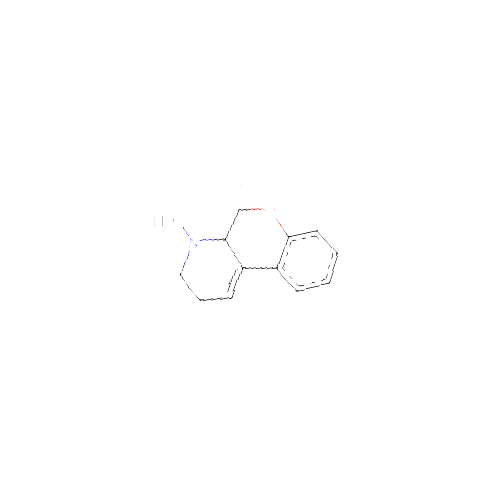 CN1CCC=C2c3ccccc3OCC21.Cl